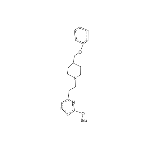 CC(C)(C)Oc1cncc(CCN2CCC(COc3ccccc3)CC2)n1